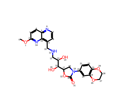 COc1ccc2nccc(CNC[C@@H](O)[C@H](O)C3CN(c4ccc5c(c4)OCCO5)C(=O)O3)c2n1